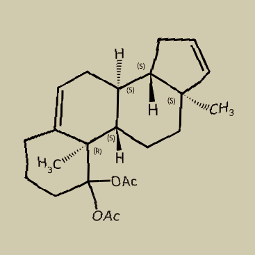 CC(=O)OC1(OC(C)=O)CCCC2=CC[C@H]3[C@@H]4CC=C[C@@]4(C)CC[C@@H]3[C@]21C